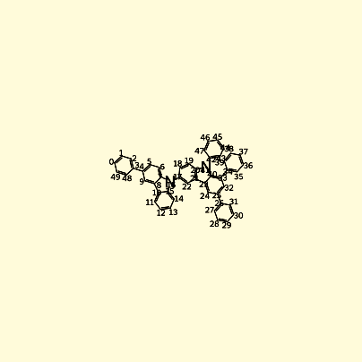 c1ccc(-c2ccc3c(c2)c2ccccc2n3-c2ccc3c(c2)c2cc(-c4ccccc4)cc(-c4ccccc4)c2n3-c2ccccc2)cc1